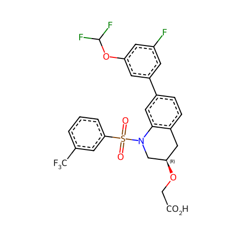 O=C(O)CO[C@@H]1Cc2ccc(-c3cc(F)cc(OC(F)F)c3)cc2N(S(=O)(=O)c2cccc(C(F)(F)F)c2)C1